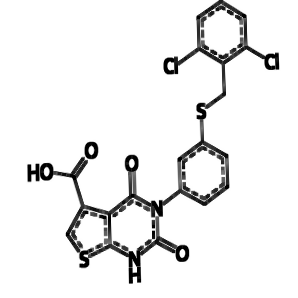 O=C(O)c1csc2[nH]c(=O)n(-c3cccc(SCc4c(Cl)cccc4Cl)c3)c(=O)c12